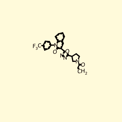 C=CC(=O)N1CCC(c2nnc(-c3cc4ccccc4n(-c4ccc(C(F)(F)F)cc4)c3=O)o2)C1